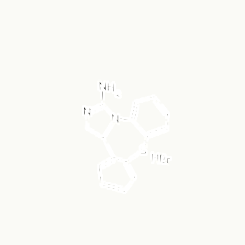 Br.NC1=NCC2c3ccccc3Sc3ccccc3N12